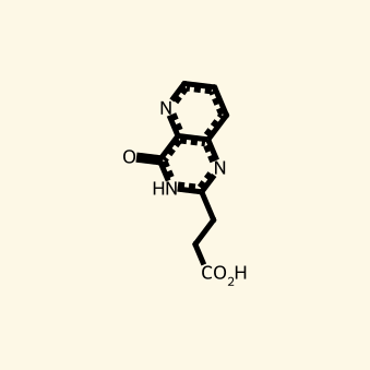 O=C(O)CCc1nc2cccnc2c(=O)[nH]1